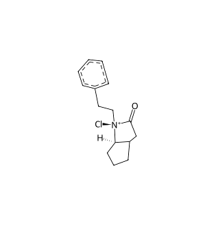 O=C1CC2CCC[C@H]2[N@+]1(Cl)CCc1ccccc1